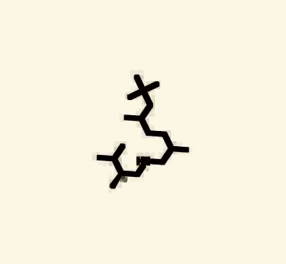 CC(CCC(C)CC(C)(C)C)CNC[C@@H](C)C(C)C